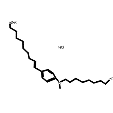 CCCCCCCCCCCCCCCCCC=Cc1ccc(N(C)CCCCCCCCCCCCCCCCCC)cc1.Cl